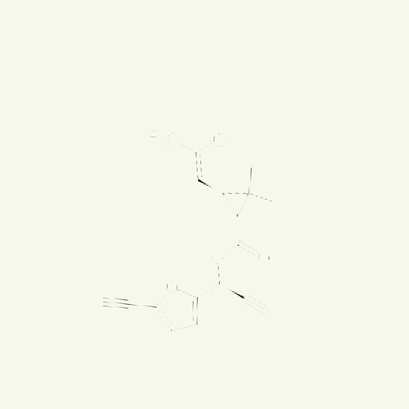 C#Cc1ccc([C@H](C#C)OC(=O)[C@@H]2[C@@H](/C=C(\Cl)C(F)(F)F)C2(C)C)o1